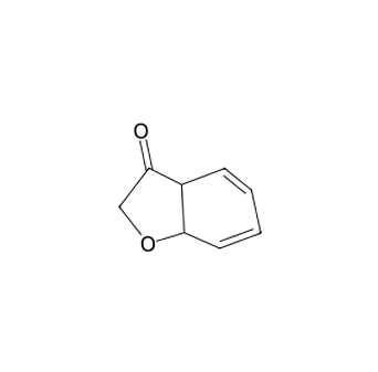 O=C1COC2C=CC=CC12